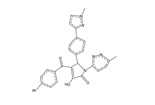 Cc1ccc(N2C(=O)C(O)=C(C(=O)c3ccc(C(C)C)cc3)C2c2ccc(-c3ccn(C)n3)cc2)nn1